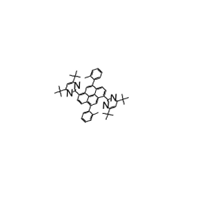 Cc1ccccc1-c1cc2c(-c3nc(C(C)(C)C)cc(C(C)(C)C)n3)ccc3c(-c4ccccc4C)cc4c(-c5nc(C(C)(C)C)cc(C(C)(C)C)n5)ccc1c4c23